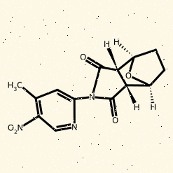 Cc1cc(N2C(=O)[C@@H]3[C@H](C2=O)[C@H]2CC[C@@H]3O2)ncc1[N+](=O)[O-]